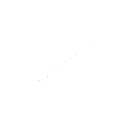 O=P(O)(O)OCCCCCCCCCCCCCO